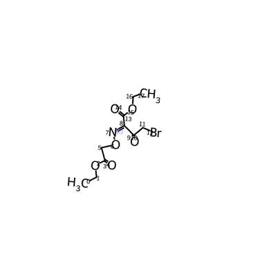 CCOC(=O)CO/N=C(\C(=O)CBr)C(=O)OCC